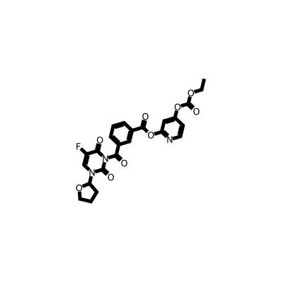 CCOC(=O)Oc1ccnc(OC(=O)c2cccc(C(=O)n3c(=O)c(F)cn(C4CCCO4)c3=O)c2)c1